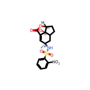 C[C@]1(NS(=O)(=O)c2ccccc2[N+](=O)[O-])C=C2C(=O)O[C@@H]3CCC(C1)[C@]23O